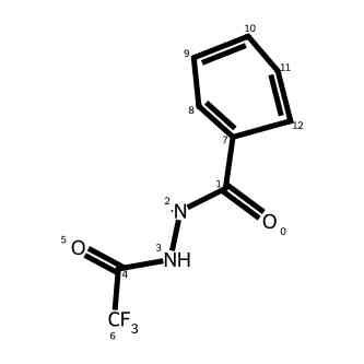 O=C([N]NC(=O)C(F)(F)F)c1ccccc1